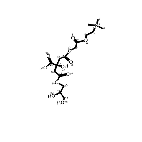 C[N+](C)(C)CCOC(=O)COC(=O)CC(O)(CC(=O)OCC(O)CO)C(=O)[O-]